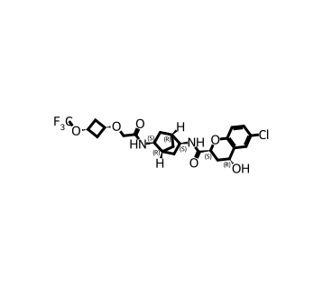 O=C(CO[C@H]1C[C@@H](OC(F)(F)F)C1)N[C@H]1C[C@H]2C[C@@H]1C[C@@H]2NC(=O)[C@@H]1C[C@@H](O)c2cc(Cl)ccc2O1